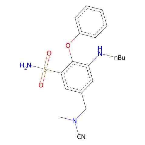 CCCCNc1cc(CN(C)C#N)cc(S(N)(=O)=O)c1Oc1ccccc1